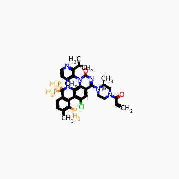 C=CC(=O)N1CCN(c2nc(=O)n(-c3c(C)ccnc3C(C)C)c3c4c(c(Cl)cc23)-c2c(ccc(C)c2P)C(P)(P)N4)[C@@H](C)C1